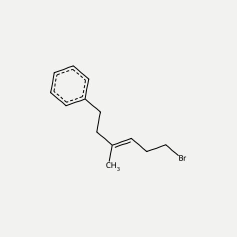 CC(=CCCBr)CCc1ccccc1